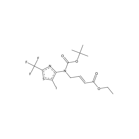 CCOC(=O)/C=C/CN(C(=O)OC(C)(C)C)c1nc(C(F)(F)F)sc1I